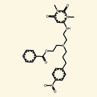 Cn1c(NCCN(CCCc2ccc([N+](=O)[O-])cc2)CCOC(=O)c2ccccc2)cc(=O)n(C)c1=O